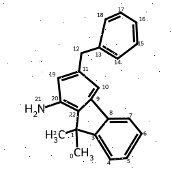 CC1(C)c2ccccc2-c2cc(Cc3ccccc3)cc(N)c21